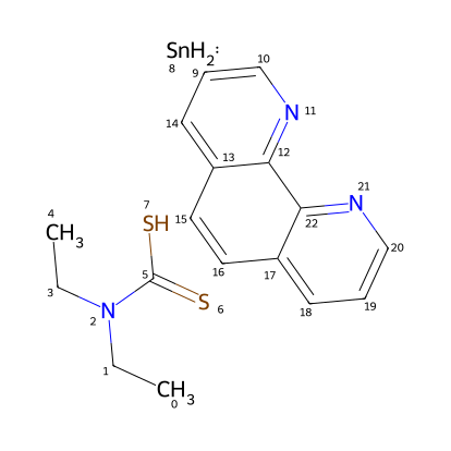 CCN(CC)C(=S)S.[SnH2].c1cnc2c(c1)ccc1cccnc12